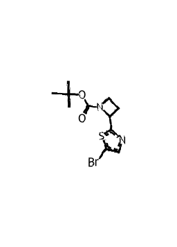 CC(C)(C)OC(=O)N1CCC1c1ncc(Br)s1